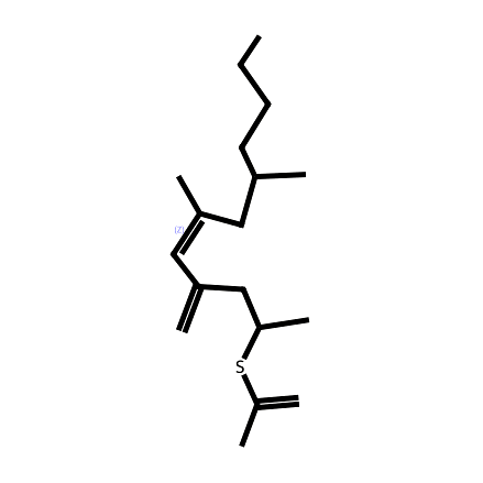 C=C(/C=C(/C)CC(C)CCCC)CC(C)SC(=C)C